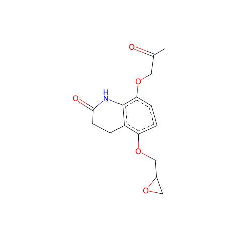 CC(=O)COc1ccc(OCC2CO2)c2c1NC(=O)CC2